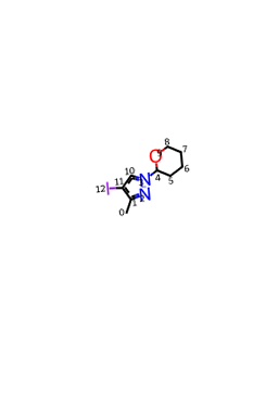 Cc1nn(C2CCCCO2)cc1I